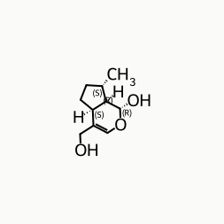 C[C@H]1CC[C@@H]2C(CO)=CO[C@@H](O)[C@@H]21